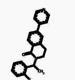 CC(c1ccccc1F)N1CCc2cc(-c3ccncc3)ccc2C1=O